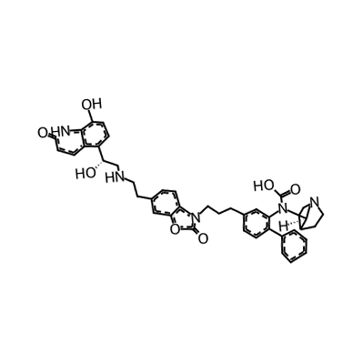 O=C(O)N(c1cc(CCCn2c(=O)oc3cc(CCNC[C@H](O)c4ccc(O)c5[nH]c(=O)ccc45)ccc32)ccc1-c1ccccc1)[C@H]1CN2CCC1CC2